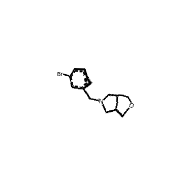 Brc1cccc(CN2CC3COCC3C2)c1